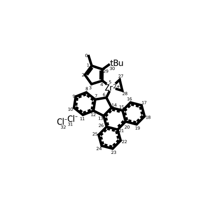 CC1=CC[C]([Zr+2]2([CH]3c4ccccc4-c4c3c3ccccc3c3ccccc43)[CH2][CH2]2)=C1C(C)(C)C.[Cl-].[Cl-]